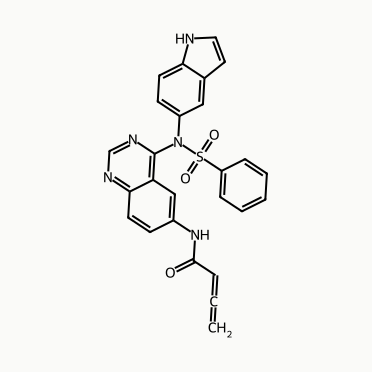 C=C=CC(=O)Nc1ccc2ncnc(N(c3ccc4[nH]ccc4c3)S(=O)(=O)c3ccccc3)c2c1